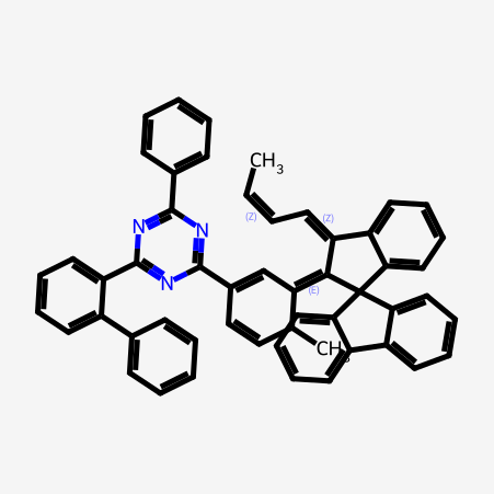 C\C=C/C=C1\C(=C2/C=C(c3nc(-c4ccccc4)nc(-c4ccccc4-c4ccccc4)n3)C=CC2C)C2(c3ccccc31)c1ccccc1-c1ccccc12